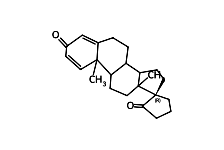 CC12C=CC(=O)C=C1CCC1C2CCC2(C)C1CC[C@]21CCCC1=O